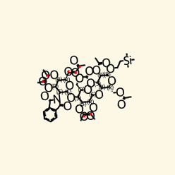 CC(=O)OC[C@H]1O[C@@H](O[C@H]2[C@H](OC(C)=O)[C@@H](OC(C)=O)[C@@H](OCC[Si](C)(C)C)O[C@@H]2COC(C)=O)[C@H](OC(C)=O)[C@@H](OC(C)=O)[C@H]1O[C@@H]1O[C@H](COC(C)=O)[C@H](OC(C)=O)[C@H](OC(C)=O)[C@@H]1N1C(=O)c2ccccc2C1=O